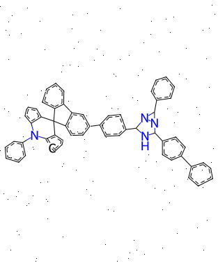 c1ccc(-c2ccc(C3NC(c4ccc(-c5ccc6c(c5)-c5ccccc5C65c6ccccc6N(c6ccccc6)c6ccccc65)cc4)N4C(c5ccccc5)N34)cc2)cc1